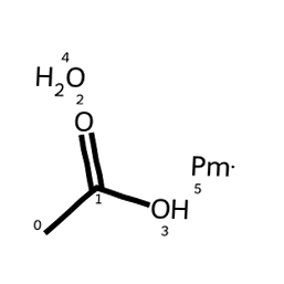 CC(=O)O.O.[Pm]